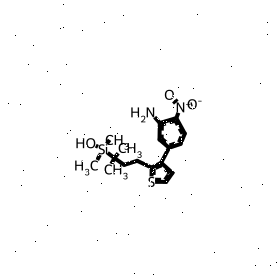 CC(C)(CCc1sccc1-c1ccc([N+](=O)[O-])c(N)c1)[Si](C)(C)O